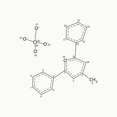 Cc1cc(-c2ccccc2)[o+]c(-c2ccccc2)c1.[O-][Cl+3]([O-])([O-])[O-]